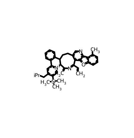 C=C/C1=N/C(=C)C2C(CCc3cnc4c(oc5cccc(C)c54)c31)c1ccccc1-c1cc(CC(C)C)c([Si](C)(C)C)c[n+]12